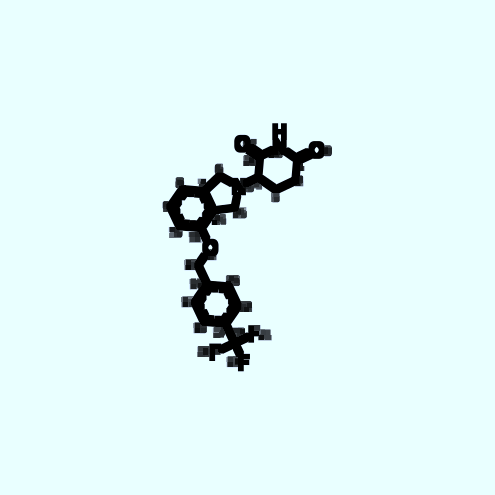 O=C1CCC(N2Cc3cccc(OCc4ccc(C(F)(F)F)cc4)c3C2)C(=O)N1